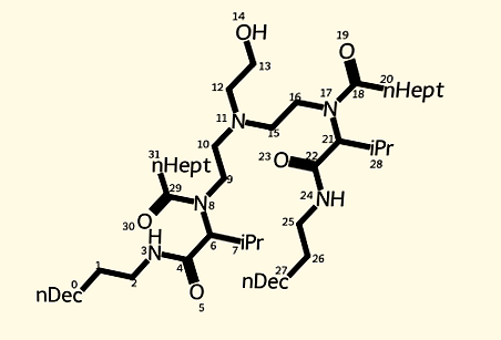 CCCCCCCCCCCCNC(=O)C(C(C)C)N(CCN(CCO)CCN(C(=O)CCCCCCC)C(C(=O)NCCCCCCCCCCCC)C(C)C)C(=O)CCCCCCC